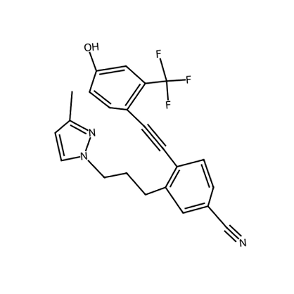 Cc1ccn(CCCc2cc(C#N)ccc2C#Cc2ccc(O)cc2C(F)(F)F)n1